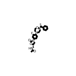 CC(=O)NC[C@H]1CN(c2ccc(N3CCON(C(=S)c4ccccc4)CC3)c(F)c2)C(=O)O1